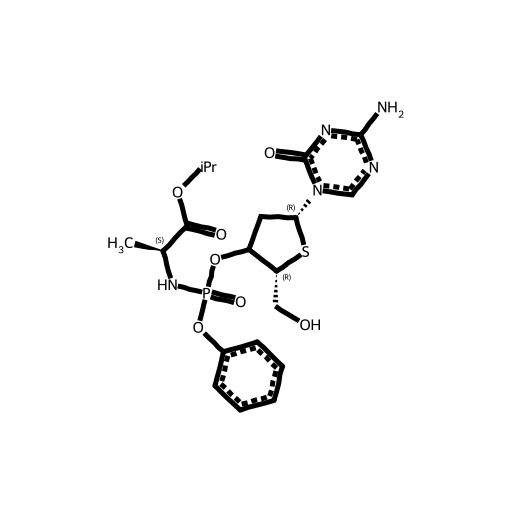 CC(C)OC(=O)[C@H](C)NP(=O)(Oc1ccccc1)OC1C[C@H](n2cnc(N)nc2=O)S[C@@H]1CO